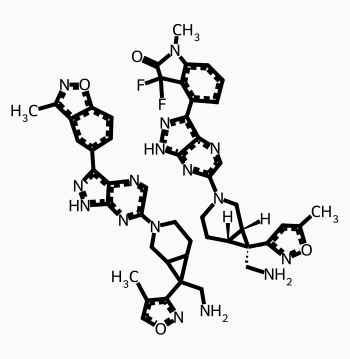 Cc1cc([C@@]2(CN)[C@@H]3CCN(c4cnc5c(-c6cccc7c6C(F)(F)C(=O)N7C)n[nH]c5n4)C[C@@H]32)no1.Cc1conc1C1(CN)C2CCN(c3cnc4c(-c5ccc6onc(C)c6c5)n[nH]c4n3)CC21